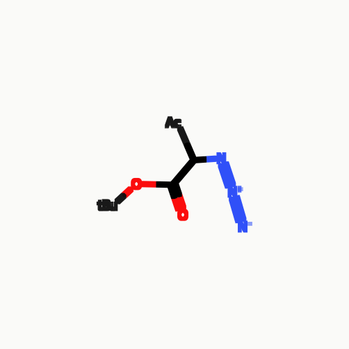 CC(=O)C(N=[N+]=[N-])C(=O)OC(C)(C)C